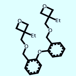 CCC1(COCc2ccccc2Oc2ccccc2COCC2(CC)COC2)COC1